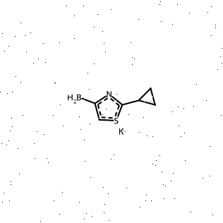 Bc1csc(C2CC2)n1.[K]